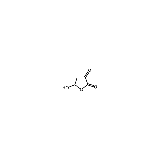 O=C1CC(O)OC1=O